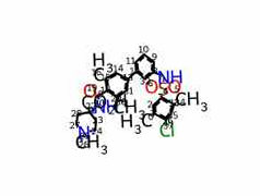 Cc1cc(S(=O)(=O)Nc2cccc(-c3cc(C)c(C(=O)NC4(C(=O)O)CCN(C)CC4)c(C)c3)c2)c(C)cc1Cl